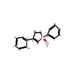 O=P1(c2ccccc2)C=C(c2ccccc2)CC1